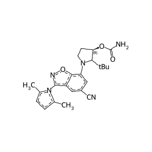 Cc1ccc(C)n1-c1noc2c(N3CC[C@@H](OC(N)=O)C3C(C)(C)C)cc(C#N)cc12